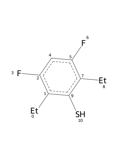 CCc1c(F)cc(F)c(CC)c1S